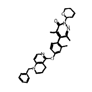 Cc1cc(Oc2nccc3c2CCCN3Cc2ccccc2)ccc1-c1c(C)nn(C2CCCCO2)c(=O)c1C